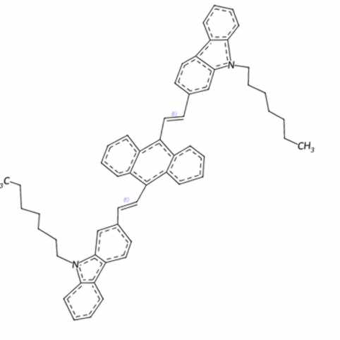 CCCCCCCn1c2ccccc2c2ccc(/C=C/c3c4ccccc4c(/C=C/c4ccc5c6ccccc6n(CCCCCCC)c5c4)c4ccccc34)cc21